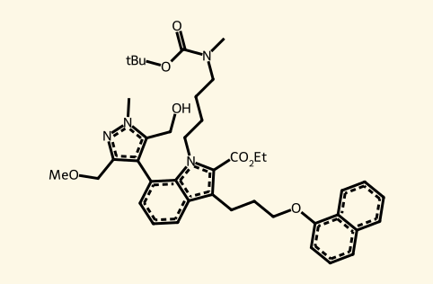 CCOC(=O)c1c(CCCOc2cccc3ccccc23)c2cccc(-c3c(COC)nn(C)c3CO)c2n1CCCCN(C)C(=O)OC(C)(C)C